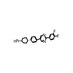 CCC[C@H]1CC[C@H](c2ccc(-c3cnc(-c4ccc(F)c(F)c4)nc3)cc2)CC1